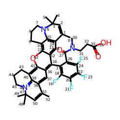 CC1=CC(C)(C)N2CCCc3c4c(cc1c32)C(c1c(F)c(F)c(F)c(F)c1C(=O)N(C)CCC(=O)O)=c1cc2c3c(c1O4)CCC[N+]=3C(C)(C)C=C2C